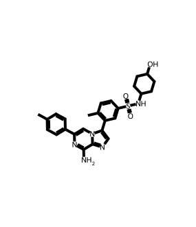 Cc1ccc(-c2cn3c(-c4cc(S(=O)(=O)NC5CCC(O)CC5)ccc4C)cnc3c(N)n2)cc1